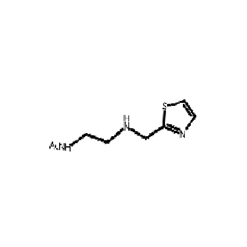 CC(=O)NCCNCc1nccs1